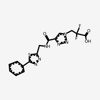 O=C(NCc1nnc(-c2ccccc2)s1)c1cn(CC(F)(F)C(=O)O)nn1